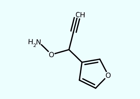 C#CC(ON)c1ccoc1